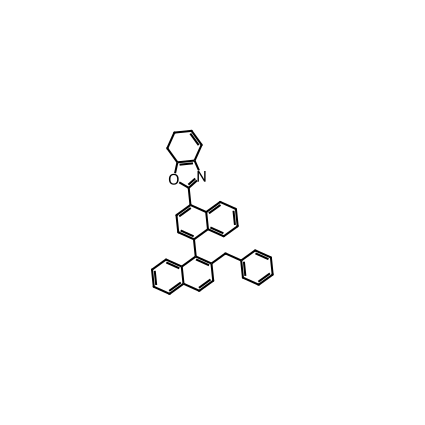 C1=Cc2nc(-c3ccc(-c4c(Cc5ccccc5)ccc5ccccc45)c4ccccc34)oc2CC1